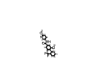 COc1ccc(NC(=O)c2ccc(-c3ncccc3C(F)(F)F)c(OC)c2)cn1